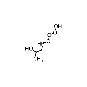 CC(O)CPOOOO